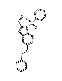 O=Cc1cc2cc(OCc3ccccc3)cnc2n1S(=O)(=O)c1ccccc1